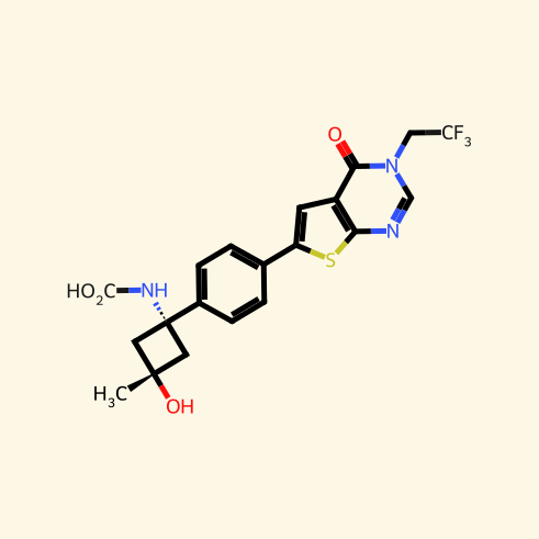 C[C@]1(O)C[C@](NC(=O)O)(c2ccc(-c3cc4c(=O)n(CC(F)(F)F)cnc4s3)cc2)C1